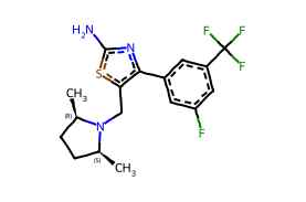 C[C@@H]1CC[C@H](C)N1Cc1sc(N)nc1-c1cc(F)cc(C(F)(F)F)c1